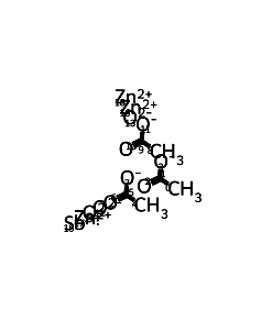 CC(=O)[O-].CC(=O)[O-].CC(=O)[O-].[O-2].[O-2].[O-2].[Sb+3].[Zn+2].[Zn+2].[Zn+2]